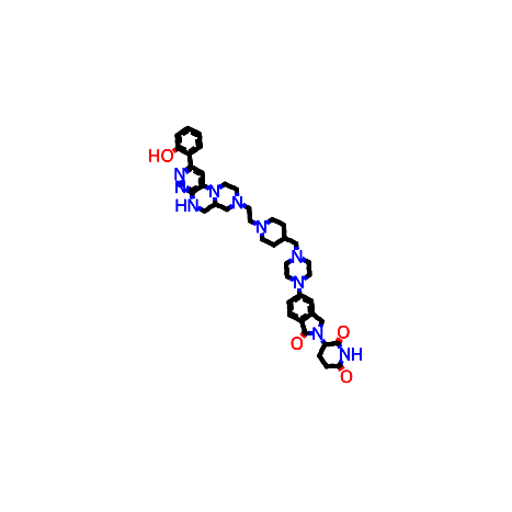 O=C1CCC(N2Cc3cc(N4CCN(CC5CCN(CCN6CCN7c8cc(-c9ccccc9O)nnc8NCC7C6)CC5)CC4)ccc3C2=O)C(=O)N1